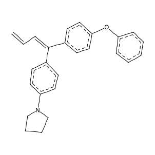 C=CC=C(c1ccc(Oc2ccccc2)cc1)c1ccc(N2CCCC2)cc1